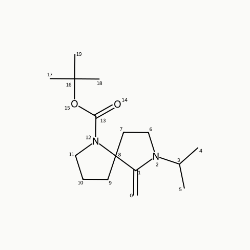 C=C1N(C(C)C)CCC12CCCN2C(=O)OC(C)(C)C